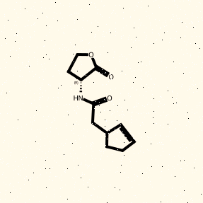 O=C(CC1C=CCC1)N[C@@H]1CCOC1=O